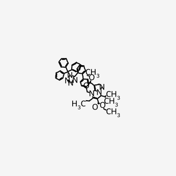 CCCC1=C(C(=O)OCC)C(C(C)C)n2ncc(C(=O)OCC)c2N1Cc1ccc(-c2ccccc2-c2nnnn2C(c2ccccc2)(c2ccccc2)c2ccccc2)cc1